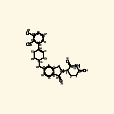 O=C1CCN(N2Cc3cc(CN4CC=C(c5cncc(Cl)c5Cl)CC4)ccc3C2=O)C(=O)N1